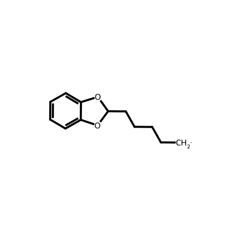 [CH2]CCCCC1Oc2ccccc2O1